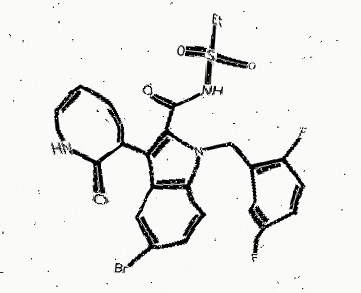 CCS(=O)(=O)NC(=O)c1c(-c2ccc[nH]c2=O)c2cc(Br)ccc2n1Cc1cc(F)ccc1F